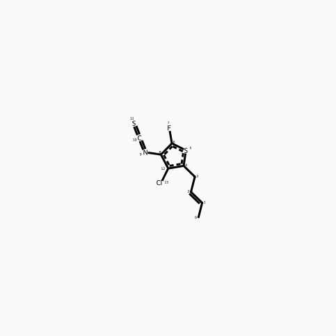 CC=CCc1sc(F)c(N=C=S)c1Cl